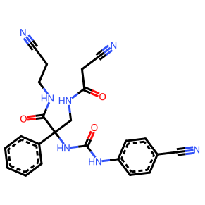 N#CCCNC(=O)C(CNC(=O)CC#N)(NC(=O)Nc1ccc(C#N)cc1)c1ccccc1